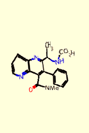 CNC(=O)c1c(-c2ccccc2)c(C(C)NC(=O)O)nc2cccnc12